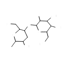 CC1OC(CO)C(OC2OC(CO)C(O)C(O)C2O)CC1O